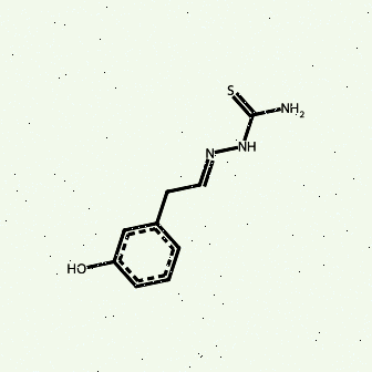 NC(=S)NN=CCc1cccc(O)c1